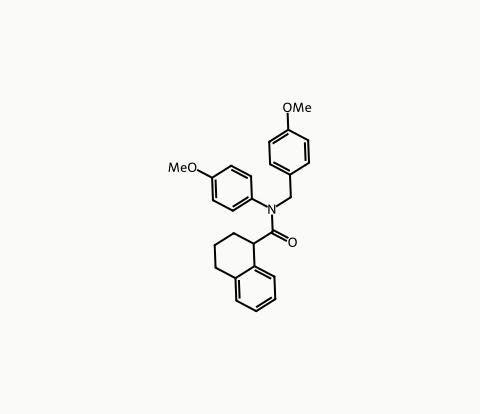 COc1ccc(CN(C(=O)C2CCCc3ccccc32)c2ccc(OC)cc2)cc1